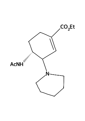 CCOC(=O)C1=CC(N2CCCCC2)[C@H](NC(C)=O)CC1